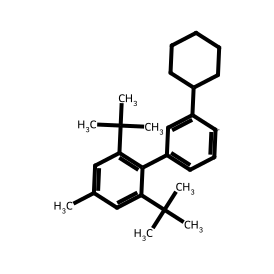 Cc1cc(C(C)(C)C)c(-c2cc[c]c(C3CCCCC3)c2)c(C(C)(C)C)c1